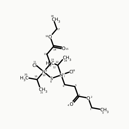 CCOC(=O)CC[N+](Cl)(S[N+](Cl)(CCC(=O)OCC)C(C)C)C(C)C